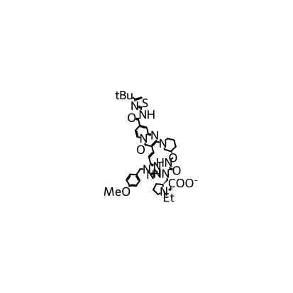 CC[N+]1(CC(=O)[O-])CCC[C@H]1CNC(=O)NO[C@@H]1CCCN(c2nc3cc(C(=O)Nc4nc(C(C)(C)C)cs4)ccn3c(=O)c2C=Cc2nnnn2Cc2ccc(OC)cc2)C1